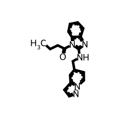 CCCC(=O)n1c(NCc2ccn3nccc3c2)nc2ccccc21